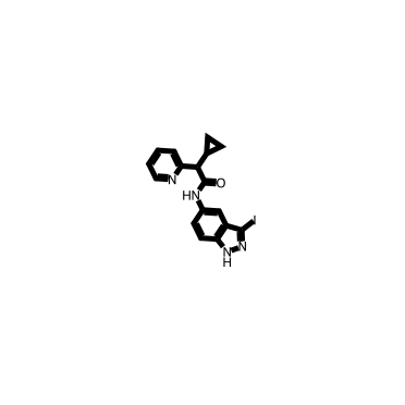 O=C(Nc1ccc2[nH]nc(I)c2c1)C(c1ccccn1)C1CC1